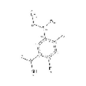 Cc1cc(F)c(C(C)S)cc1[S+]([O-])CC(F)(F)F